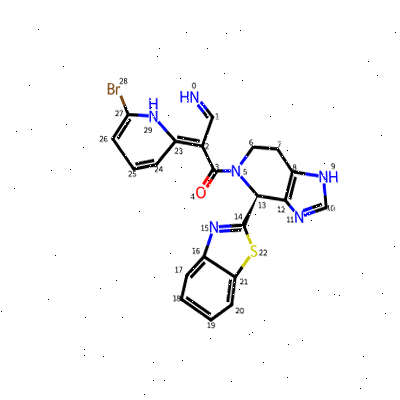 N=C/C(C(=O)N1CCc2[nH]cnc2[C@H]1c1nc2ccccc2s1)=C1/C=CC=C(Br)N1